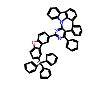 c1ccc(-c2nc(-c3ccc4oc5ccc([Si](c6ccccc6)(c6ccccc6)c6ccccc6)cc5c4c3)nc3c2-c2ccccc2-c2cccc4c5ccccc5n-3c24)cc1